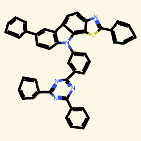 c1ccc(-c2ccc3c(c2)c2ccc4nc(-c5ccccc5)sc4c2n3-c2cccc(-c3nc(-c4ccccc4)nc(-c4ccccc4)n3)c2)cc1